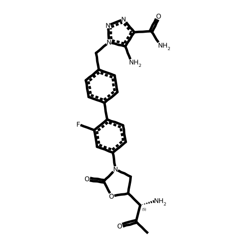 CC(=O)[C@@H](N)C1CN(c2ccc(-c3ccc(Cn4nnc(C(N)=O)c4N)cc3)c(F)c2)C(=O)O1